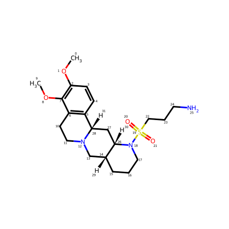 COc1ccc2c(c1OC)CCN1C[C@H]3CCCN(S(=O)(=O)CCCN)[C@H]3C[C@@H]21